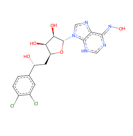 ON=c1nc[nH]c2c1ncn2[C@@H]1O[C@@H](C[C@@H](O)c2ccc(Cl)c(Cl)c2)[C@@H](O)[C@H]1O